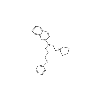 c1ccc(SCCCN(CCN2CCCC2)c2ccc3ccccc3c2)cc1